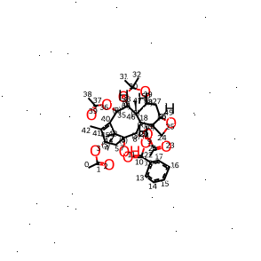 CC(=O)O[C@H]1C[C@@]2(O)[C@@H](OC(=O)c3ccccc3)[C@@H]3[C@]4(OC(C)=O)CO[C@@H]4C[C@@H]4OC(C)(C)O[C@@H]([C@H](OC(C)=O)C(=C1C)C2(C)C)[C@]43C